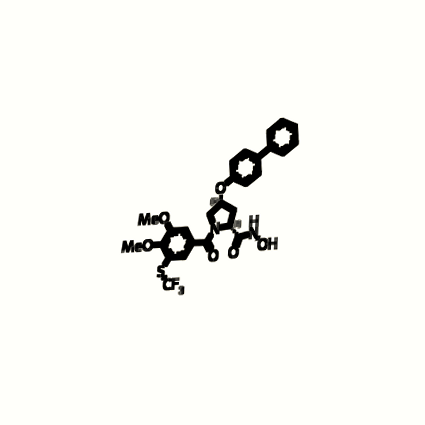 COc1cc(C(=O)N2C[C@H](Oc3ccc(-c4ccccc4)cc3)C[C@@H]2C(=O)NO)cc(SC(F)(F)F)c1OC